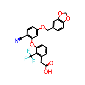 N#Cc1ccc(OCc2ccc3c(c2)OCO3)cc1Oc1cccc(CC(=O)O)c1C(F)(F)F